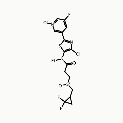 CCN(C(=O)CC[S+]([O-])CC1CC1(F)F)c1sc(-c2cc(F)c[n+]([O-])c2)nc1Cl